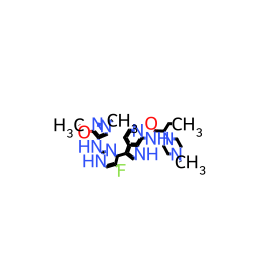 CCC(C(=O)Nc1nccc2c(C3=NC(Nc4cn(C)nc4OC)NC=C3F)c[nH]c12)N1CCN(C)CC1